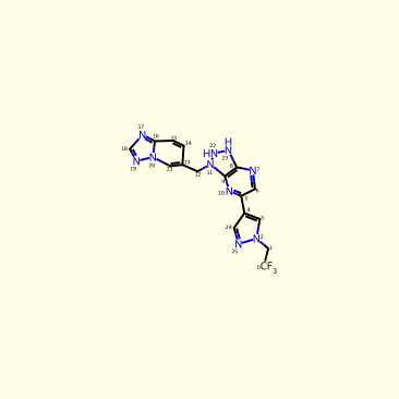 FC(F)(F)Cn1cc(-c2cnc3c(n2)N(Cc2ccc4ncnn4c2)NN3)cn1